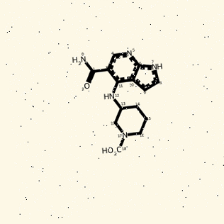 NC(=O)c1cnc2[nH]ccc2c1NC1CCCN(C(=O)O)C1